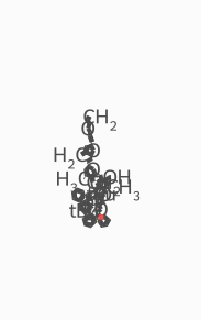 C=CCOC/C=C/[C@H]1CC(=C)[C@H](CC[C@H]2C[C@@H](C)C(=C)[C@@H](CC3OC4CC(O[Si](c5ccccc5)(c5ccccc5)C(C)(C)C)C(CCO[Si](c5ccccc5)(c5ccccc5)C(C)(C)C)OC4C(C)C3O)O2)O1